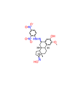 COc1cc2c(cc1O)C(=NNc1ccc([N+](=O)[O-])cc1[N+](=O)[O-])C[C@@H]1[C@@H]2CC[C@]2(C)C(=NO)CC[C@@H]12